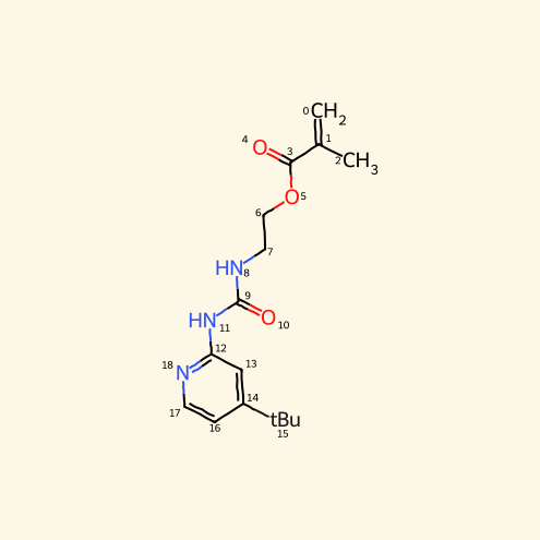 C=C(C)C(=O)OCCNC(=O)Nc1cc(C(C)(C)C)ccn1